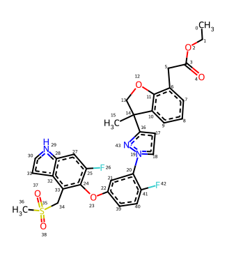 CCOC(=O)Cc1cccc2c1OCC2(C)c1ccn(-c2cc(Oc3c(F)cc4[nH]ccc4c3CS(C)(=O)=O)ccc2F)n1